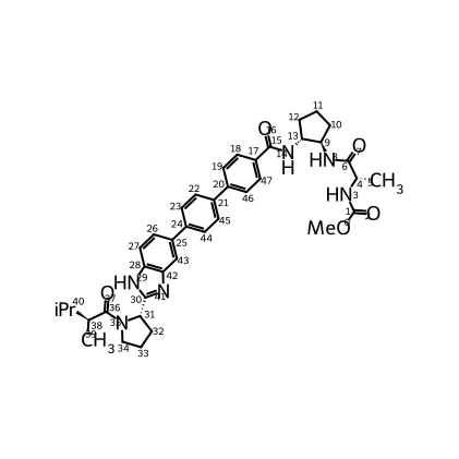 COC(=O)N[C@@H](C)C(=O)N[C@@H]1CCC[C@H]1NC(=O)c1ccc(-c2ccc(-c3ccc4[nH]c([C@@H]5CCCN5C(=O)[C@@H](C)C(C)C)nc4c3)cc2)cc1